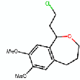 COc1cc2c(cc1OC)C(CCCl)OCCC2